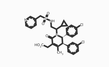 CC1=C(CC(=O)O)C(=O)N(C(CNS(=O)(=O)Cc2cccnc2)C2CC2)[C@H](c2ccc(Cl)cc2)[C@H]1c1cccc(Cl)c1